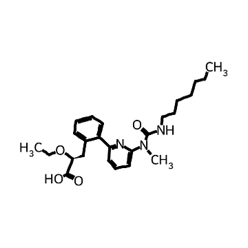 CCCCCCCNC(=O)N(C)c1cccc(-c2ccccc2C[C@H](OCC)C(=O)O)n1